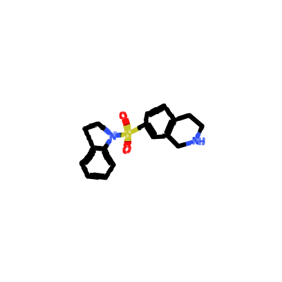 O=S(=O)(c1ccc2c(c1)CNCC2)N1CCc2ccccc21